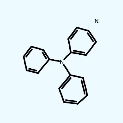 [N].c1ccc(N(c2ccccc2)c2ccccc2)cc1